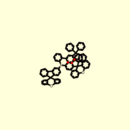 c1ccc(C2(c3ccccc3)c3ccccc3-c3ccc(-c4ccccc4N(c4ccc5c(c4)-c4ccccc4C54c5ccccc5Oc5ccccc54)c4ccc5c(c4)-c4ccccc4C54c5ccccc5Oc5ccccc54)cc32)cc1